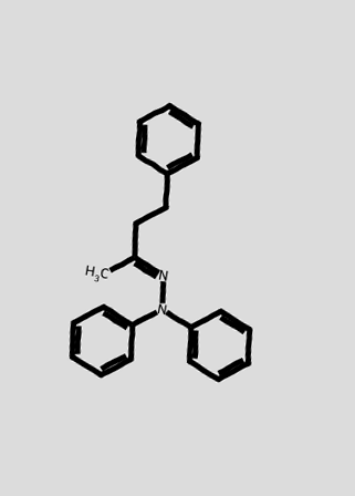 CC(CCc1ccccc1)=NN(c1ccccc1)c1ccccc1